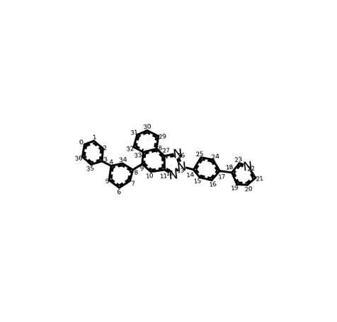 c1ccc(-c2cccc(-c3cc4nn(-c5ccc(-c6cccnc6)cc5)nc4c4ccccc34)c2)cc1